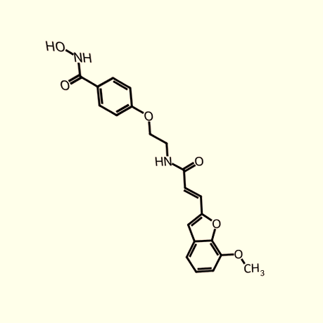 COc1cccc2cc(/C=C/C(=O)NCCOc3ccc(C(=O)NO)cc3)oc12